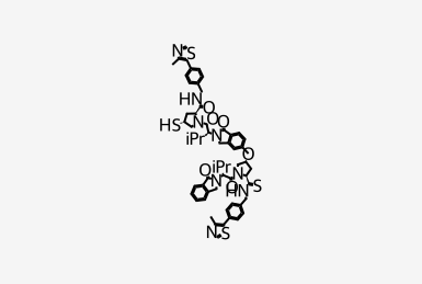 Cc1ncsc1-c1ccc(CNC(=O)[C@@H]2C[C@@H](S)CN2C(=O)[C@H](C(C)C)N2Cc3cc(O[C@@H]4C[C@@H](C(=S)NCc5ccc(-c6scnc6C)cc5)N(C(=O)[C@H](C(C)C)N5Cc6ccccc6C5=O)C4)ccc3C2=O)cc1